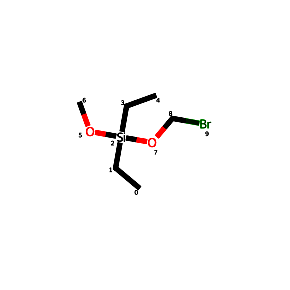 CC[Si](CC)(OC)OCBr